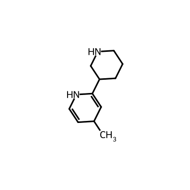 CC1C=CNC(C2CCCNC2)=C1